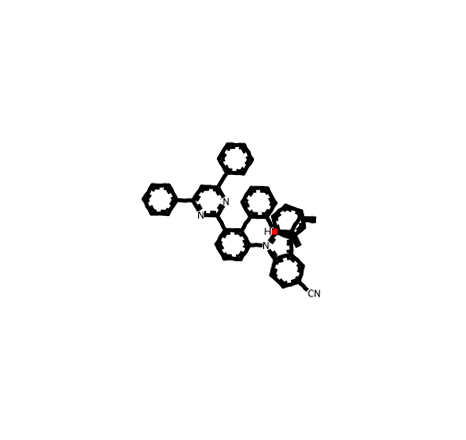 C=CC(=C)Nc1ccccc1-c1c(-c2nc(-c3ccccc3)cc(-c3ccccc3)n2)cccc1-n1c2ccccc2c2cc(C#N)ccc21